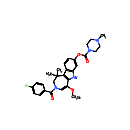 CCOC(=O)OC1=CN(C(=O)c2ccc(F)cc2)CC(C)(C)c2c1[nH]c1cc(OC(=O)N3CCN(C)CC3)ccc21